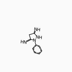 N=C1CC(=N)N(c2ccccc2)N1